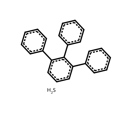 S.c1ccc(-c2cccc(-c3ccccc3)c2-c2ccccc2)cc1